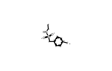 CCNS(=O)(=O)Cc1ccc(F)cc1